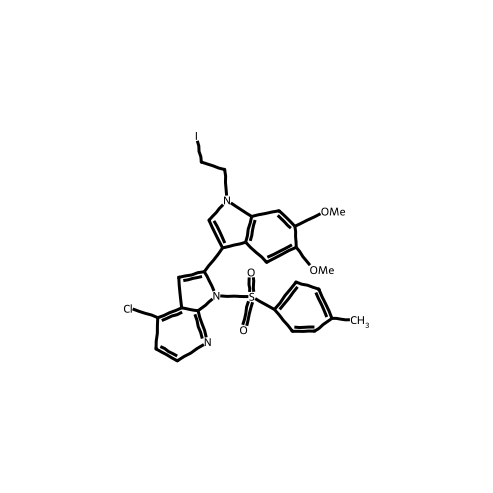 COc1cc2c(-c3cc4c(Cl)ccnc4n3S(=O)(=O)c3ccc(C)cc3)cn(CCI)c2cc1OC